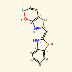 C1=Cc2sc(C=C3Nc4ccccc4S3)nc2OC1